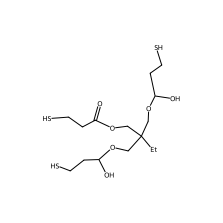 CCC(COC(=O)CCS)(COC(O)CCS)COC(O)CCS